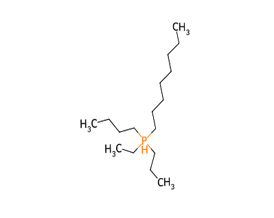 CCCCCCCC[PH](CC)(CCC)CCCC